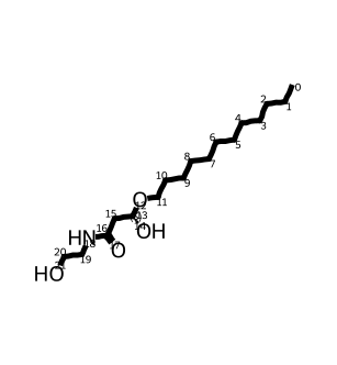 CCCCCCCCCCCCO[C@H](O)CC(=O)NCCO